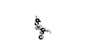 CCN(Cc1ccc(F)cc1C)C(=O)C(=O)Nc1cnc(N)c2cn(C3CCCCO3)nc12